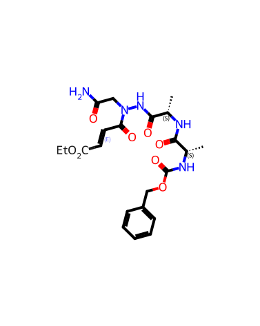 CCOC(=O)/C=C/C(=O)N(CC(N)=O)NC(=O)[C@H](C)NC(=O)[C@H](C)NC(=O)OCc1ccccc1